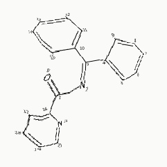 O=C(N=C(c1ccccc1)c1ccccc1)c1ccccn1